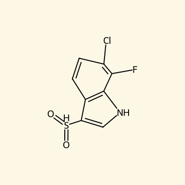 O=[SH](=O)c1c[nH]c2c(F)c(Cl)ccc12